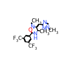 C/C=N\C(=C\c1ncn(C)n1)C(C)NC(=O)c1cc(C(F)(F)F)cc(C(F)(F)F)c1